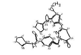 COc1ccc(C2=NN(Cc3ccc(C(=O)NC4CCCC4)cc3)C(=O)CC2)cc1OC1CCCC1